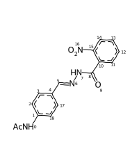 CC(=O)Nc1ccc(C=NNC(=O)c2ccccc2[N+](=O)[O-])cc1